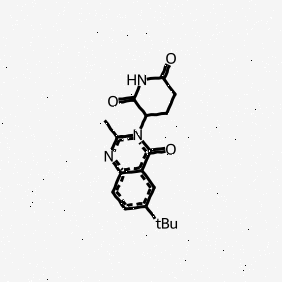 Cc1nc2ccc(C(C)(C)C)cc2c(=O)n1C1CCC(=O)NC1=O